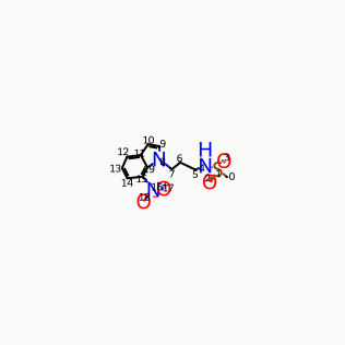 CS(=O)(=O)NCCCn1ccc2cccc([N+](=O)[O-])c21